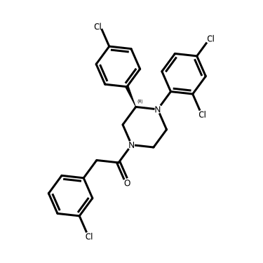 O=C(Cc1cccc(Cl)c1)N1CCN(c2ccc(Cl)cc2Cl)[C@H](c2ccc(Cl)cc2)C1